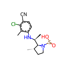 Cc1c(N[C@@H](C)[C@@H]2[C@@H](C)CCN2S(=O)O)ccc(C#N)c1Cl